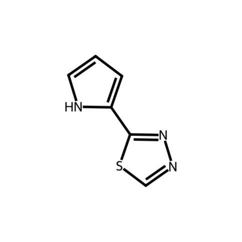 c1c[nH]c(-c2nncs2)c1